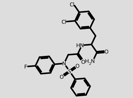 NC(=O)C(Cc1ccc(Cl)c(Cl)c1)NC(=O)CN(c1ccc(F)cc1)S(=O)(=O)c1ccccc1